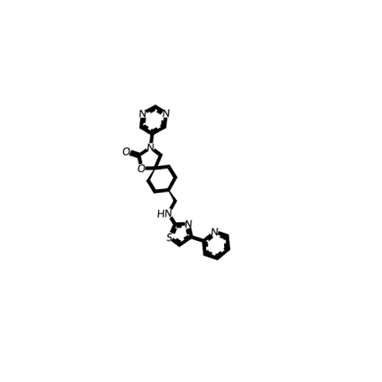 O=C1O[C@]2(CC[C@H](CNc3nc(-c4ccccn4)cs3)CC2)CN1c1cncnc1